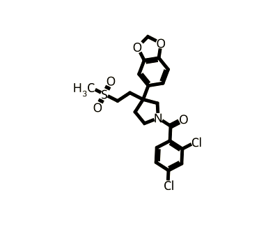 CS(=O)(=O)CCC1(c2ccc3c(c2)OCO3)CCN(C(=O)c2ccc(Cl)cc2Cl)C1